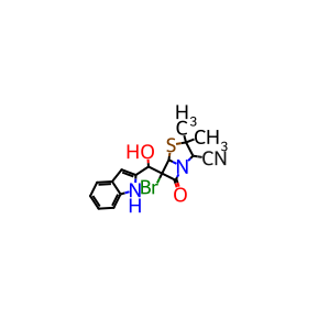 CC1(C)SC2N(C(=O)C2(Br)C(O)c2cc3ccccc3[nH]2)C1C#N